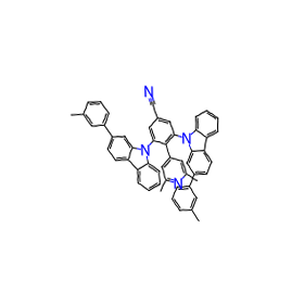 Cc1cccc(-c2ccc3c4ccccc4n(-c4cc(C#N)cc(-n5c6ccccc6c6ccc(-c7cccc(C)c7)cc65)c4-c4cc(C)nc(C)c4)c3c2)c1